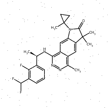 Cc1nnc(N[C@H](C)c2cccc(C(F)F)c2F)c2cc3c(cc12)C(C)(C)C(=O)N3C1(C)CC1